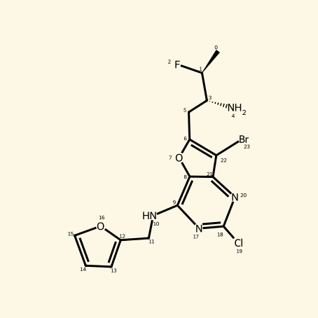 C[C@H](F)[C@H](N)Cc1oc2c(NCc3ccco3)nc(Cl)nc2c1Br